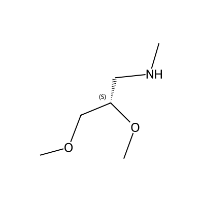 CNC[C@@H](COC)OC